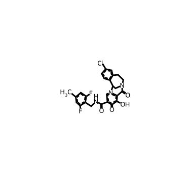 Cc1cc(F)c(CNC(=O)c2cn3c(c(O)c2=O)C(=O)N2CCc4cc(Cl)ccc4C3C2)c(F)c1